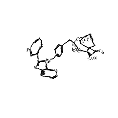 CCOC(=O)[C@H](Cc1ccc(-n2c(-c3cccnc3)nc3cccnc32)cc1)NC1=C(SC)C(=O)C12CCCCC2